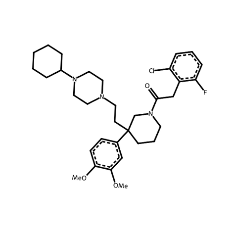 COc1ccc(C2(CCN3CCN(C4CCCCC4)CC3)CCCN(C(=O)Cc3c(F)cccc3Cl)C2)cc1OC